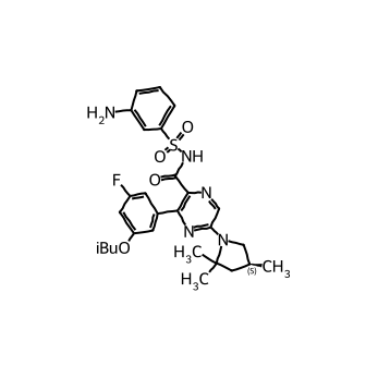 CC(C)COc1cc(F)cc(-c2nc(N3C[C@@H](C)CC3(C)C)cnc2C(=O)NS(=O)(=O)c2cccc(N)c2)c1